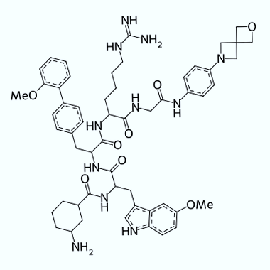 COc1ccc2[nH]cc(CC(NC(=O)C3CCCC(N)C3)C(=O)NC(Cc3ccc(-c4ccccc4OC)cc3)C(=O)NC(CCCCNC(=N)N)C(=O)NCC(=O)Nc3ccc(N4CC5(COC5)C4)cc3)c2c1